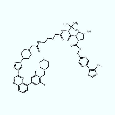 Cc1ncsc1-c1ccc(CNC(=O)[C@@H]2C[C@@H](O)CN2C(=O)[C@@H](NC(=O)COCCNC(=O)CN2CCC(n3cc(-c4cnc5cccc(-c6cc(F)c(CN7CCOCC7)c(F)c6)c5n4)cn3)CC2)C(C)(C)C)cc1